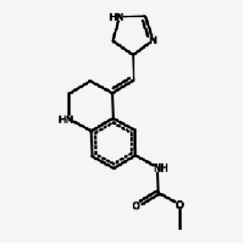 COC(=O)Nc1ccc2c(c1)/C(=C/C1CNC=N1)CCN2